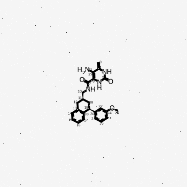 C=C1NC(=O)NC(C(=O)NC[C@@H]2Cc3ccccc3[C@H](c3cccc(OC)c3)C2)=C1N